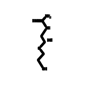 Cl.N=C(N)NCCOCCO